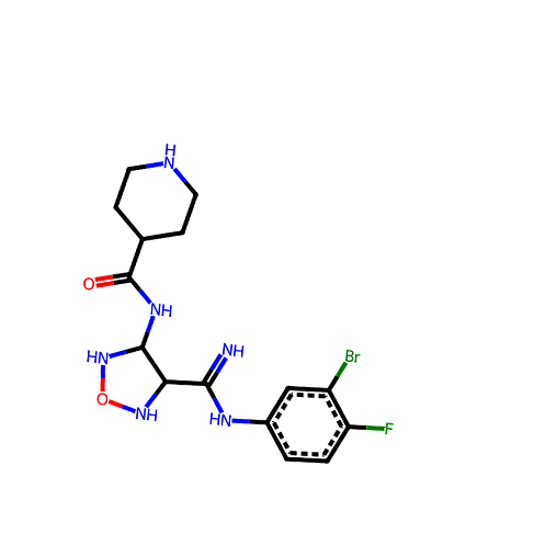 N=C(Nc1ccc(F)c(Br)c1)C1NONC1NC(=O)C1CCNCC1